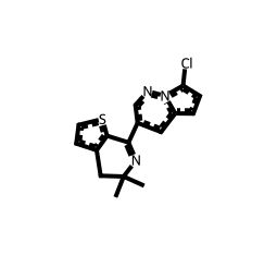 CC1(C)Cc2ccsc2C(c2cnn3c(Cl)ccc3c2)=N1